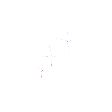 C[N+]1([O-])CC[N+]([O-])(CC(=O)O)CC1